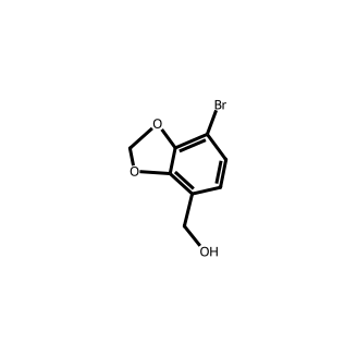 OCc1ccc(Br)c2c1OCO2